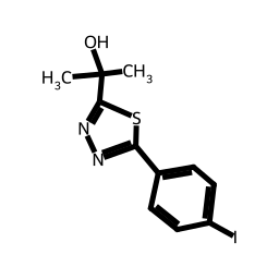 CC(C)(O)c1nnc(-c2ccc(I)cc2)s1